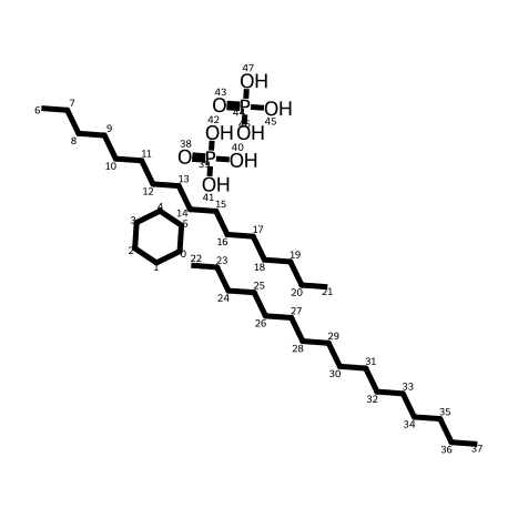 C1CCCCC1.CCCCCCCCCCCCCCCC.CCCCCCCCCCCCCCCC.O=P(O)(O)O.O=P(O)(O)O